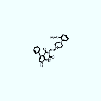 COc1ccccc1N1CCN(CCn2c(=O)[nH]c3[nH]cc(-c4ccccc4)c3c2=O)CC1